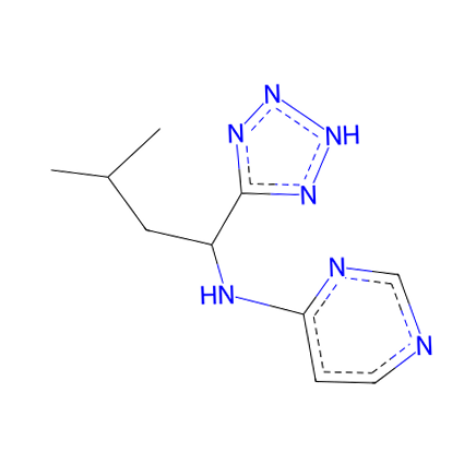 CC(C)CC(Nc1ccncn1)c1nn[nH]n1